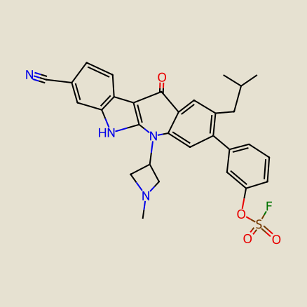 CC(C)Cc1cc2c(=O)c3c4ccc(C#N)cc4[nH]c3n(C3CN(C)C3)c2cc1-c1cccc(OS(=O)(=O)F)c1